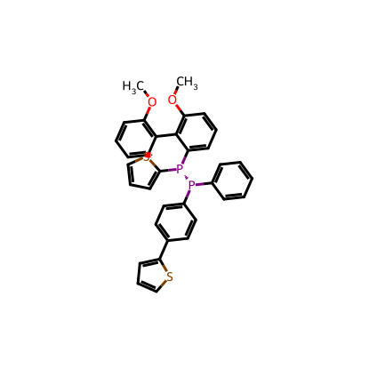 COc1ccc[c]c1-c1c(OC)cccc1[P@@](c1cccs1)P(c1ccccc1)c1ccc(-c2cccs2)cc1